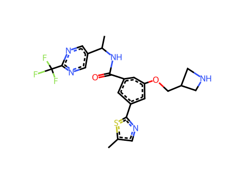 Cc1cnc(-c2cc(OCC3CNC3)cc(C(=O)NC(C)c3cnc(C(F)(F)F)nc3)c2)s1